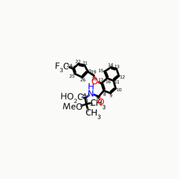 COC(C)(C)C(NC(=O)c1ccc2ccccc2c1OCc1ccc(C(F)(F)F)cc1)C(=O)O